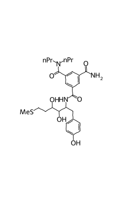 CCCN(CCC)C(=O)c1cc(C(N)=O)cc(C(=O)NC(Cc2ccc(O)cc2)C(O)C(O)CCSC)c1